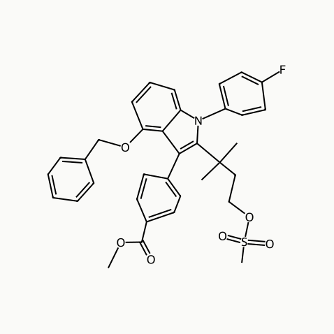 COC(=O)c1ccc(-c2c(C(C)(C)CCOS(C)(=O)=O)n(-c3ccc(F)cc3)c3cccc(OCc4ccccc4)c23)cc1